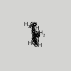 Cc1ccccc1C(=O)NCc1ccc(-c2nn([C@@H]3CCCN(C(=O)C(O)CO)C3)c3ncnc(N)c23)cc1